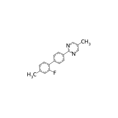 Cc1cnc(-c2ccc(-c3ccc(C)cc3F)cc2)nc1